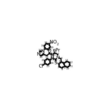 CCC[C@@H](CN(Cc1cccc2ccccc12)C(=S)Nc1ccc(Cl)cc1)NC(=O)Cc1cncn1-c1ccc([N+](=O)[O-])cc1